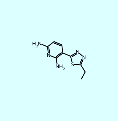 CCc1nnc(-c2ccc(N)nc2N)s1